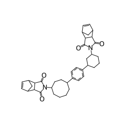 O=C1C2C3C=CC(C3)C2C(=O)N1C1CCCCC(c2ccc(C3CCCC(N4C(=O)C5C6C=CC(C6)C5C4=O)C3)cc2)CC1